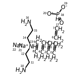 C=C.C=C.C=C.C=C.C=C.NCCNCCN.O=[PH]([O-])[O-].[Na+].[Na+]